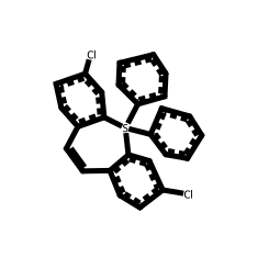 Clc1ccc2c(c1)S(c1ccccc1)(c1ccccc1)c1cc(Cl)ccc1C=C2